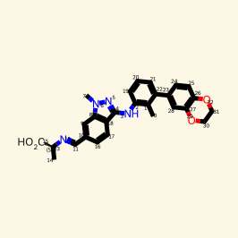 Cc1c(Nc2nn(C)c3cc(C=N[C@@H](C)C(=O)O)ccc23)cccc1-c1ccc2c(c1)OCCO2